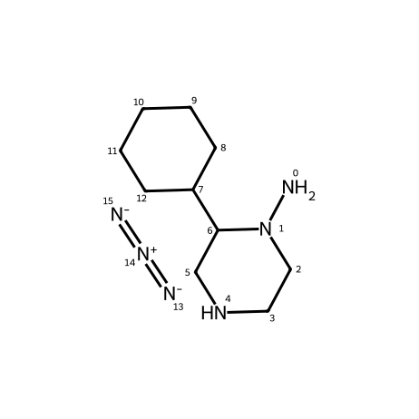 NN1CCNCC1C1CCCCC1.[N-]=[N+]=[N-]